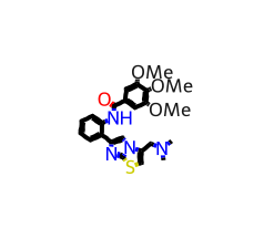 COc1cc(C(=O)Nc2ccccc2-c2cn3c(CN(C)C)csc3n2)cc(OC)c1OC